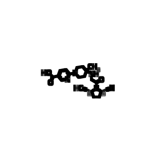 C#C[C@H]1CC[C@@H](C#N)N1C(=O)CNC1(C)CCN(c2ccc(C(=O)O)cn2)CC1